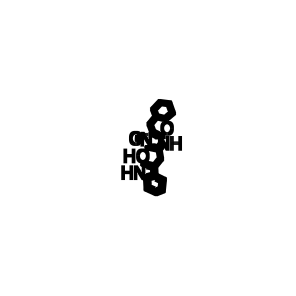 O=c1[nH]c(Cc2c[nH]c3ccccc23)c(O)[n+]([O-])c1CC1CCCCC1